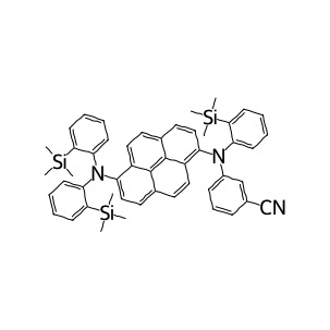 C[Si](C)(C)c1ccccc1N(c1cccc(C#N)c1)c1ccc2ccc3c(N(c4ccccc4[Si](C)(C)C)c4ccccc4[Si](C)(C)C)ccc4ccc1c2c43